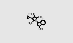 Cc1c(C(=O)O)c(C2CC2)c(C)n1C1=CC(O)c2ccccc21